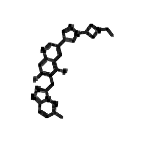 CCN1CC(n2cc(-c3cnc4cc(F)c(Cc5nnc6ccc(C)nn56)c(F)c4c3)cn2)C1